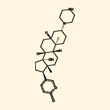 C[C@@]12CC[C@@H](N3CCNCC3)C[C@H]1CC[C@@H]1[C@H]2CC[C@]2(C)[C@@H](c3ccc(=O)oc3)CC[C@@]12O